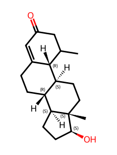 CC1CC(=O)C=C2CC[C@@H]3[C@H](CC[C@]4(C)[C@@H](O)CC[C@@H]34)[C@H]21